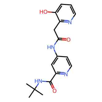 CC(C)(C)NC(=O)c1cc(NC(=O)Cc2ncccc2O)ccn1